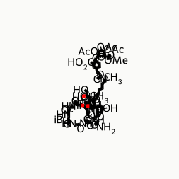 CC[C@H](C)[C@@H]1NC(=O)CNC(=O)[C@@H]2Cc3c([nH]c4cc(OCCCCCCN(C)C(=O)OCc5ccc(OC6O[C@H](C(=O)OC)[C@@H](OC(C)=O)[C@H](OC(C)=O)[C@H]6OC(C)=O)c(C(=O)O)c5)ccc34)[S+]([O-])C[C@H](NC(=O)CNC1=O)C(=O)N[C@@H](CC(N)=O)C(=O)N1C[C@H](O)C[C@H]1C(=O)N[C@@H]([C@@H](C)[C@@H](O)CO)C(=O)N2